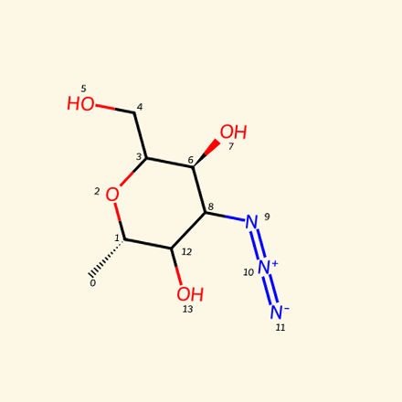 C[C@@H]1OC(CO)[C@@H](O)C(N=[N+]=[N-])C1O